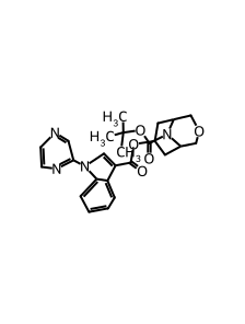 CC(C)(C)OC(=O)N1C2COCC1CC(OC(=O)c1cn(-c3cnccn3)c3ccccc13)C2